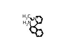 C=C[n+]1ccccc1-c1c(N)ccc2ccccc12